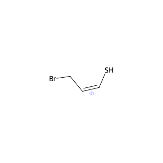 S/C=C\CBr